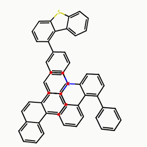 c1ccc(-c2ccccc2-c2c(-c3ccccc3)cccc2N(c2ccc(-c3cccc4sc5ccccc5c34)cc2)c2ccc3c(ccc4ccccc43)c2)cc1